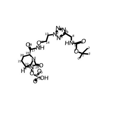 CC(C)(C)OC(=O)NCc1nnn(CCONC(=O)[C@@H]2CC[C@@H]3CN2C(=O)N3OS(=O)(=O)O)n1